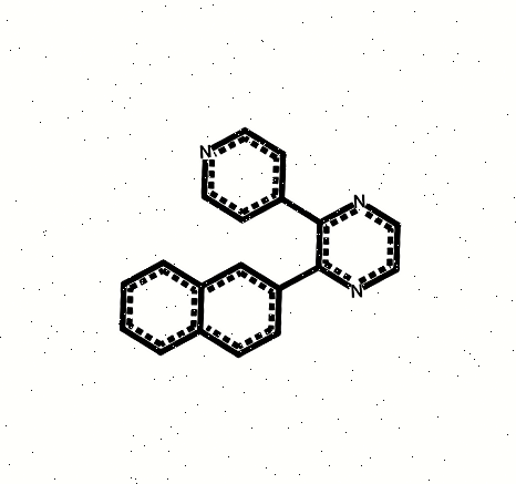 c1ccc2cc(-c3nccnc3-c3ccncc3)ccc2c1